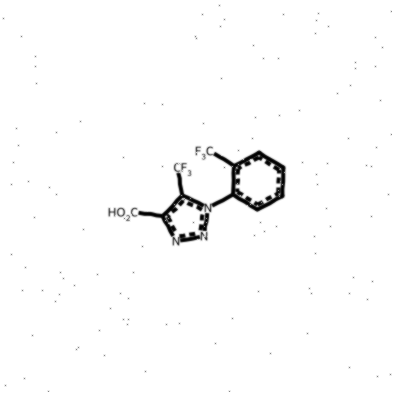 O=C(O)c1nnn(-c2ccccc2C(F)(F)F)c1C(F)(F)F